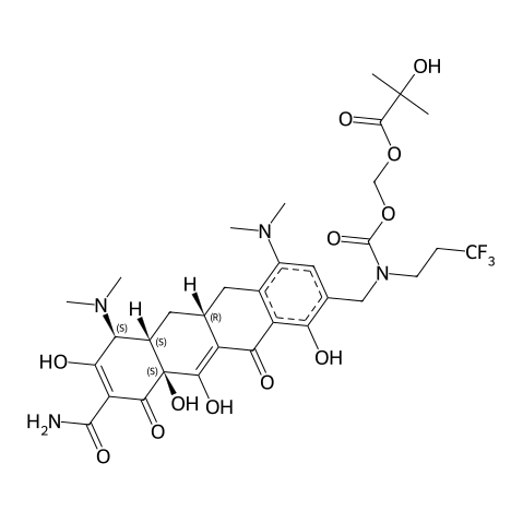 CN(C)c1cc(CN(CCC(F)(F)F)C(=O)OCOC(=O)C(C)(C)O)c(O)c2c1C[C@H]1C[C@H]3[C@H](N(C)C)C(O)=C(C(N)=O)C(=O)[C@@]3(O)C(O)=C1C2=O